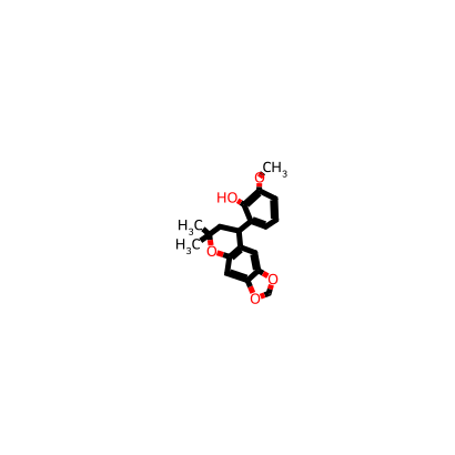 COc1cccc(C2CC(C)(C)Oc3cc4c(cc32)OCO4)c1O